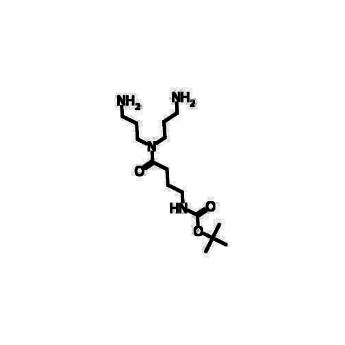 CC(C)(C)OC(=O)NCCCC(=O)N(CCCN)CCCN